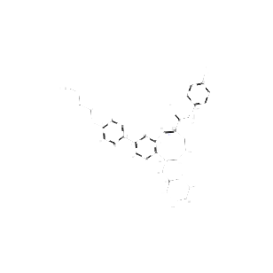 CCCCOCCOc1ccc(-c2ccc3c(c2)/C=C(/C(=O)Nc2ccc(S)cc2)CCCN3CC2COCCO2)cc1